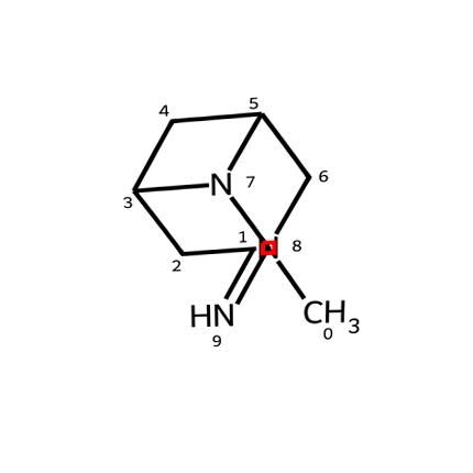 CN1CC2CC(C1)N2C=N